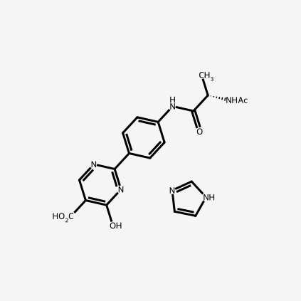 CC(=O)N[C@@H](C)C(=O)Nc1ccc(-c2ncc(C(=O)O)c(O)n2)cc1.c1c[nH]cn1